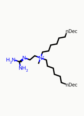 CCCCCCCCCCCCCCCC[N+](C)(CCCCCCCCCCCCCCCC)CCN=C(N)N